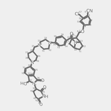 N#Cc1ccc(OCC2CCC3CCC2N3C(=O)c2ccc(N3CCN(CC4CCN(c5ccc6c(c5)C(=O)N(C5CCC(=O)NC5=O)C6O)CC4)CC3)cc2)cc1Cl